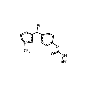 CCCNC(=O)Oc1ccc([C](CC)c2cccc(C(F)(F)F)c2)cc1